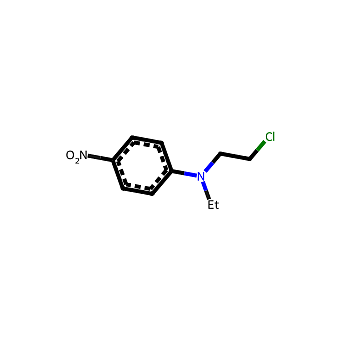 CCN(CCCl)c1ccc([N+](=O)[O-])cc1